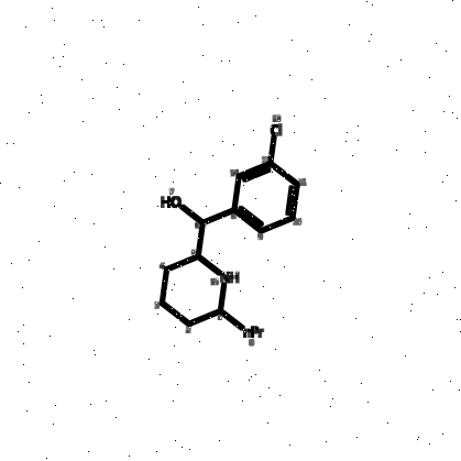 CCCC1CCCC(C(O)c2cccc(Cl)c2)N1